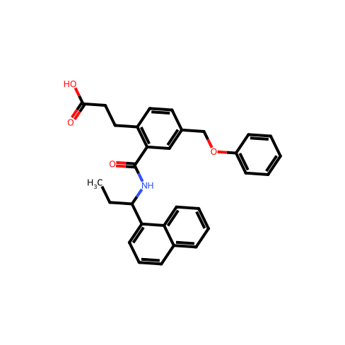 CCC(NC(=O)c1cc(COc2ccccc2)ccc1CCC(=O)O)c1cccc2ccccc12